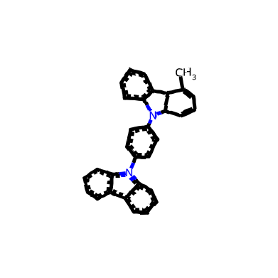 CC1=CC=CC2C1c1ccccc1N2c1ccc(-n2c3ccccc3c3ccccc32)cc1